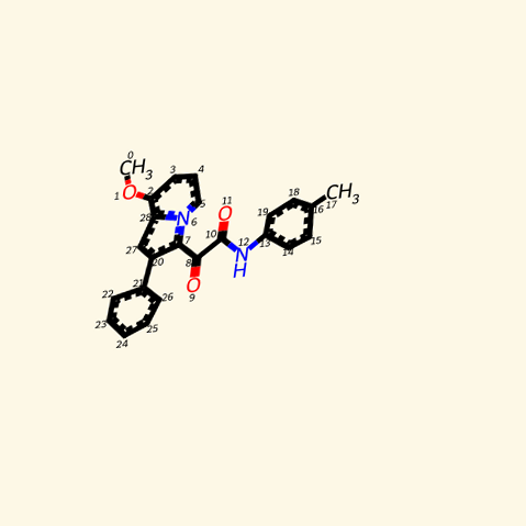 COc1cccn2c(C(=O)C(=O)Nc3ccc(C)cc3)c(-c3ccccc3)cc12